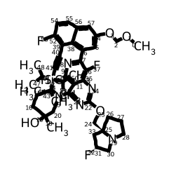 COCOc1cc(-c2nc(C)c3c(N4CCCC(C)(O)C4)nc(OC[C@@]45CCCN4C[C@H](F)C5)nc3c2F)c2c(C#C[Si](C(C)C)(C(C)C)C(C)C)c(F)ccc2c1